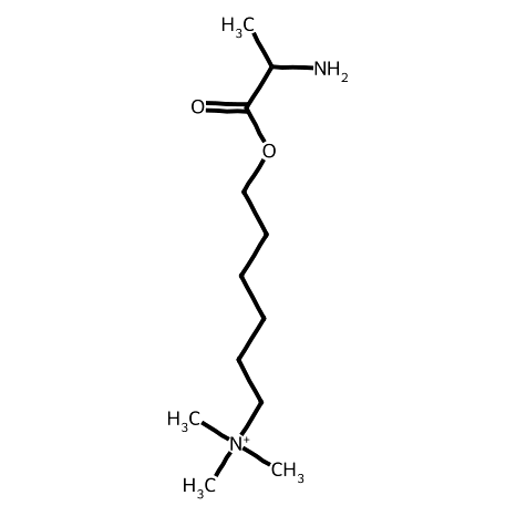 CC(N)C(=O)OCCCCCC[N+](C)(C)C